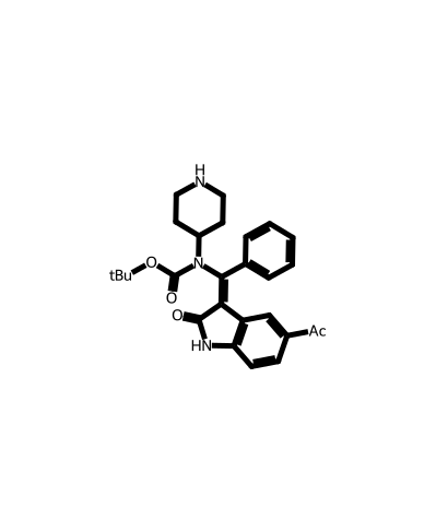 CC(=O)c1ccc2c(c1)/C(=C(\c1ccccc1)N(C(=O)OC(C)(C)C)C1CCNCC1)C(=O)N2